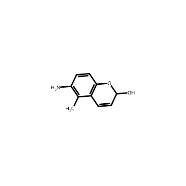 Cc1c(N)ccc2c1C=CC(O)O2